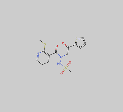 CSC1=C(C(=O)N(CC(=O)c2cccs2)NS(C)(=O)=O)CCC=N1